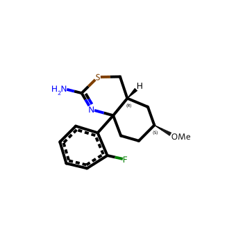 CO[C@H]1CCC2(c3ccccc3F)N=C(N)SC[C@@H]2C1